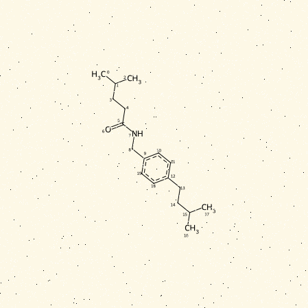 CC(C)CCC(=O)NCc1ccc(CCC(C)C)cc1